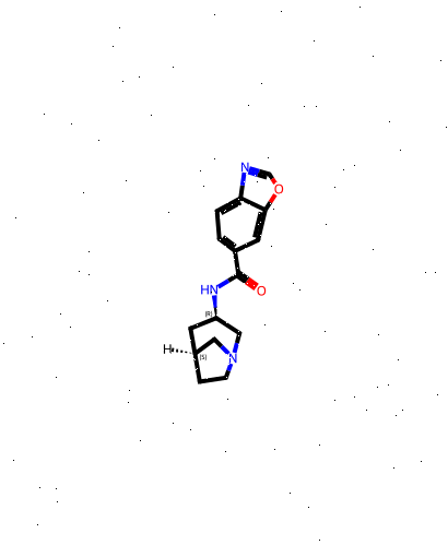 O=C(N[C@@H]1C[C@@H]2CCN(C2)C1)c1ccc2ncoc2c1